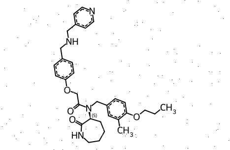 CCCOc1ccc(CN(C(=O)COc2ccc(CNCc3ccncc3)cc2)[C@H]2CCCCNC2=O)cc1C